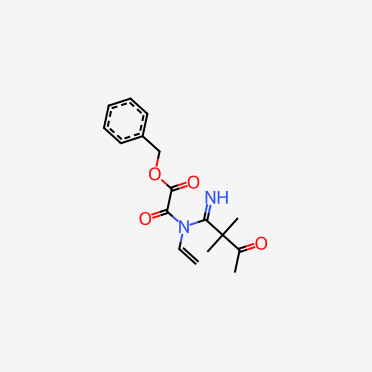 C=CN(C(=N)C(C)(C)C(C)=O)C(=O)C(=O)OCc1ccccc1